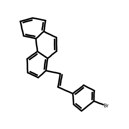 Brc1ccc(C=Cc2cccc3c2ccc2ccccc23)cc1